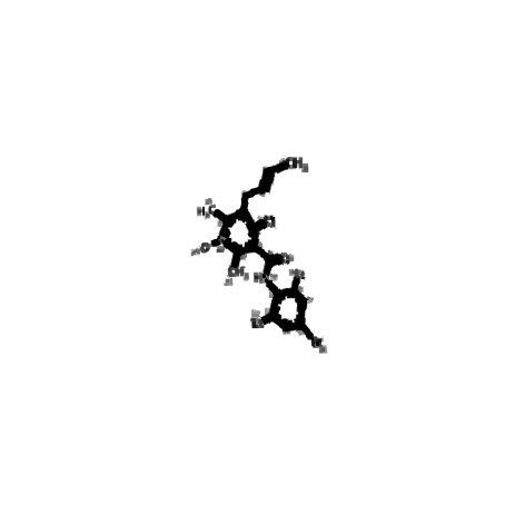 CC=CCc1c(Cl)c(C(=O)Nc2c(CC)cc(Br)cc2CC)c(C)[n+]([O-])c1C